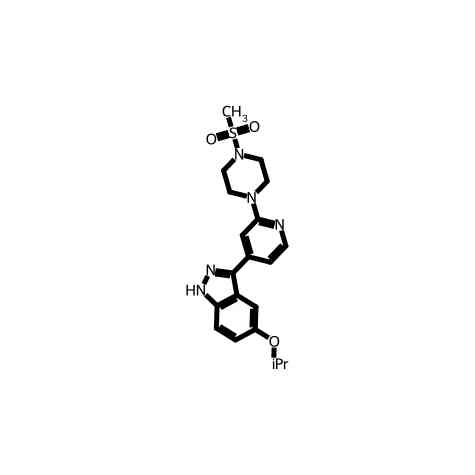 CC(C)Oc1ccc2[nH]nc(-c3ccnc(N4CCN(S(C)(=O)=O)CC4)c3)c2c1